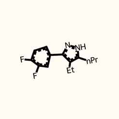 CCCc1[nH]nc(-c2ccc(F)c(F)c2)c1CC